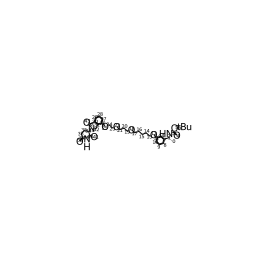 C[C@@H](NC(=O)OC(C)(C)C)c1cccc(OCCCCCOCCCOCCOc2cccc3c2CN(C2CCC(=O)NC2=O)C3=O)c1